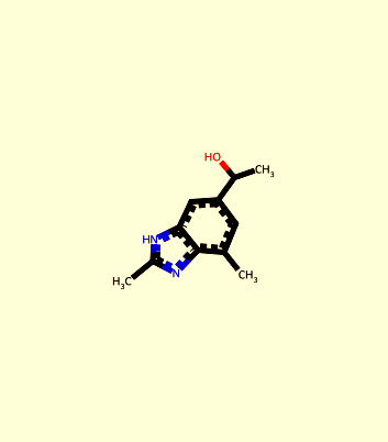 Cc1nc2c(C)cc(C(C)O)cc2[nH]1